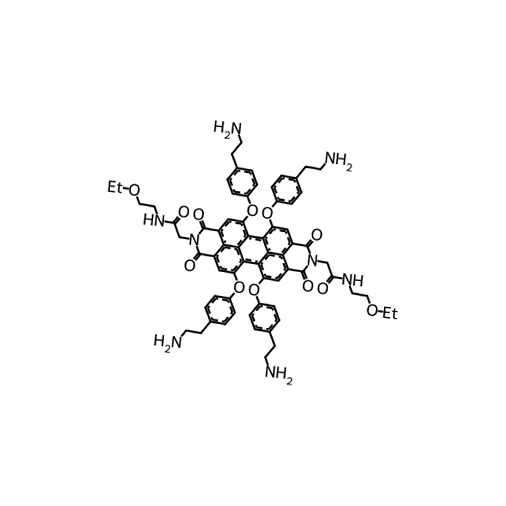 CCOCCNC(=O)CN1C(=O)c2cc(Oc3ccc(CCN)cc3)c3c4c(Oc5ccc(CCN)cc5)cc5c6c(cc(Oc7ccc(CCN)cc7)c(c7c(Oc8ccc(CCN)cc8)cc(c2c37)C1=O)c64)C(=O)N(CC(=O)NCCOCC)C5=O